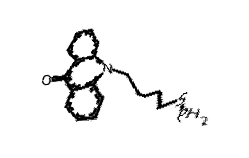 O=c1c2ccccc2n(CCCCSP)c2ccccc12